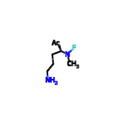 CC(=O)[C@H](CCCN)N(C)F